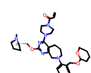 C=CC(=O)N1CCN(c2nc(OC[C@@H]3CCCN3C)nc3c2CCCN(c2ccccc2COC2CCCCO2)C3)CC1